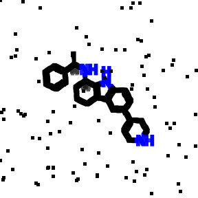 C[C@@H](N[C@@H]1CCCc2c1[nH]c1ccc(C3=CCNCC3)cc21)c1ccccc1